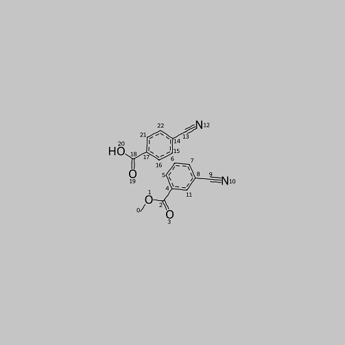 COC(=O)c1cccc(C#N)c1.N#Cc1ccc(C(=O)O)cc1